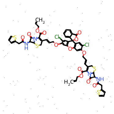 C=CCOC(=O)C1=C(/C=C/COc2cc3c(cc2Cl)C2(OC(=O)c4ccccc42)c2cc(Cl)c(OC/C=C/C4=C(C(=O)OCC=C)N5C(=O)C(NC(=O)Cc6cccs6)C5SC4)cc2O3)CSC2C(NC(=O)Cc3cccs3)C(=O)N12